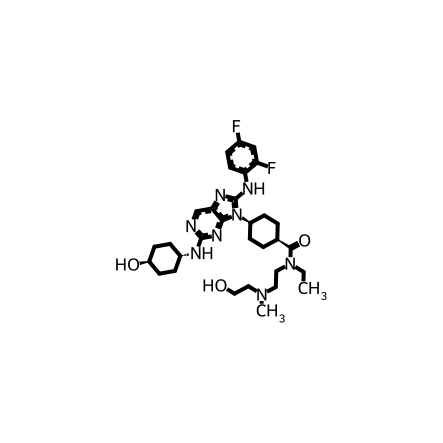 CCN(CCN(C)CCO)C(=O)[C@H]1CC[C@@H](n2c(Nc3ccc(F)cc3F)nc3cnc(N[C@H]4CC[C@H](O)CC4)nc32)CC1